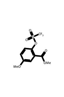 COC(=O)c1cc(OC)ccc1OS(=O)(=O)C(F)(F)F